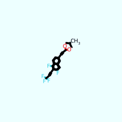 CC1COC(C#Cc2ccc3c(F)c(C#CC(F)(F)F)c(F)cc3c2)OC1